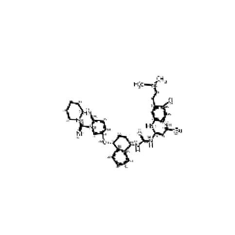 CN(C)CCc1cc(N/C(=C\C(=N)C(C)(C)C)NC(=O)N[C@H]2CC[C@@H](Oc3ccc(=N)n(C(=N)N4CCCCC4)c3)c3ccccc32)ccc1Cl